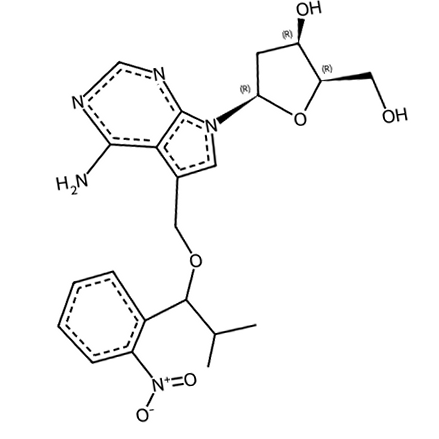 CC(C)C(OCc1cn([C@H]2C[C@@H](O)[C@@H](CO)O2)c2ncnc(N)c12)c1ccccc1[N+](=O)[O-]